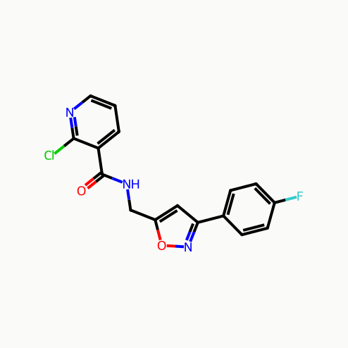 O=C(NCc1cc(-c2ccc(F)cc2)no1)c1cccnc1Cl